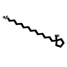 CCCCCCCCCCCCCCC1([NH])CCCC1